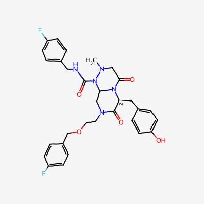 CN1CC(=O)N2C(CN(CCOCc3ccc(F)cc3)C(=O)[C@@H]2Cc2ccc(O)cc2)N1C(=O)NCc1ccc(F)cc1